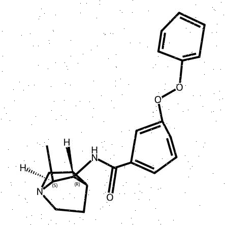 C[C@H]1[C@H](NC(=O)c2cccc(OOc3ccccc3)c2)C2CCN1CC2